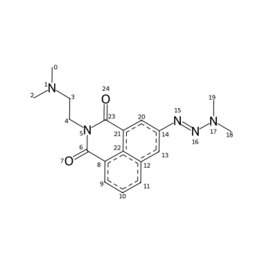 CN(C)CCN1C(=O)c2cccc3cc(/N=N/N(C)C)cc(c23)C1=O